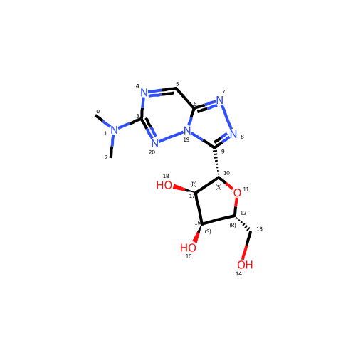 CN(C)c1ncc2nnc([C@@H]3O[C@H](CO)[C@@H](O)[C@H]3O)n2n1